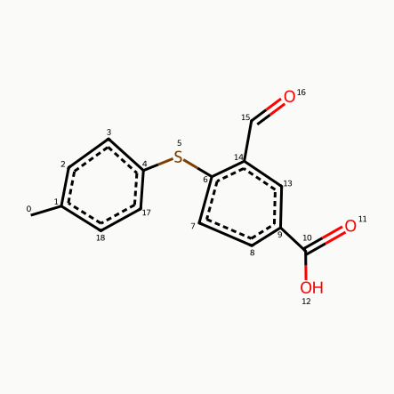 Cc1ccc(Sc2ccc(C(=O)O)cc2C=O)cc1